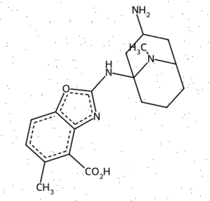 Cc1ccc2oc(NC34CCCC(CC(N)C3)N4C)nc2c1C(=O)O